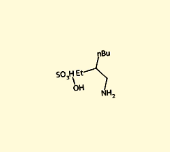 CCCCC(CC)CN.O=S(=O)(O)O